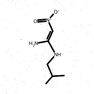 CC(C)CN/C(N)=C/[N+](=O)[O-]